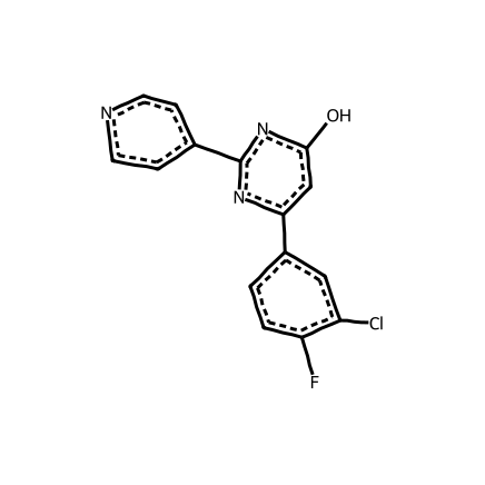 Oc1cc(-c2ccc(F)c(Cl)c2)nc(-c2ccncc2)n1